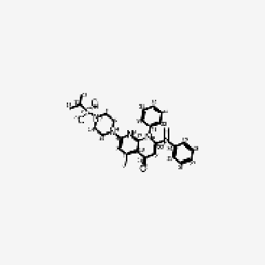 Cc1cc(N2CCN(S(=O)(=O)C(C)C)CC2)nc2c1c(=O)cc(Nc1ccccc1)n2-c1ccccc1